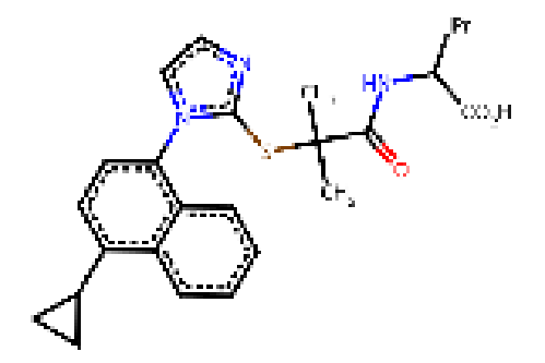 CC(C)C(NC(=O)C(C)(C)Sc1nccn1-c1ccc(C2CC2)c2ccccc12)C(=O)O